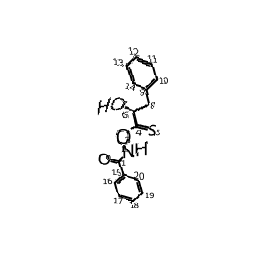 O=C(NOC(=S)[C@@H](O)Cc1ccccc1)c1ccccc1